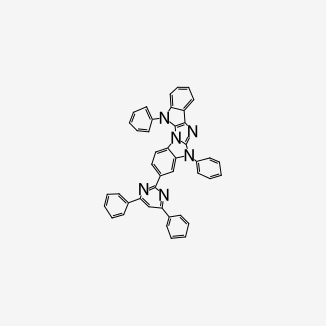 c1ccc(-c2cc(-c3ccccc3)nc(-c3ccc4c(c3)n(-c3ccccc3)c3nc5c6ccccc6n(-c6ccccc6)c5n43)n2)cc1